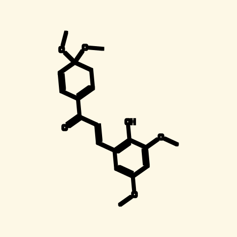 COc1cc(C=CC(=O)C2=CCC(OC)(OC)C=C2)c(O)c(OC)c1